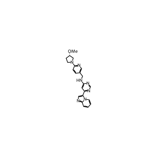 CO[C@H]1CCN(c2ccc(CNc3cc(-c4cnc5ccccn45)ncn3)cn2)C1